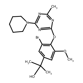 COc1cc(C(C)(C)O)cc(Br)c1Oc1nc(C)nc(N2CCCCC2)n1